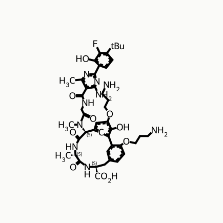 Cc1nc(-c2ccc(C(C)(C)C)c(F)c2O)nc(N)c1C(=O)NCC(=O)N(C)[C@@H]1C(=O)N[C@@H](C)C(=O)N[C@H](C(=O)O)Cc2ccc(OCCCN)c(c2)-c2cc1cc(OCCCN)c2O